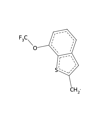 [CH2]c1cc2cccc(OC(F)(F)F)c2s1